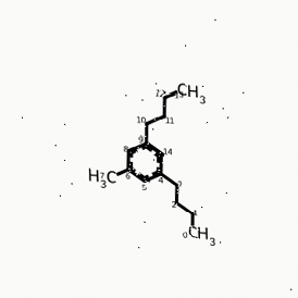 CCCCc1[c]c(C)cc(CCCC)c1